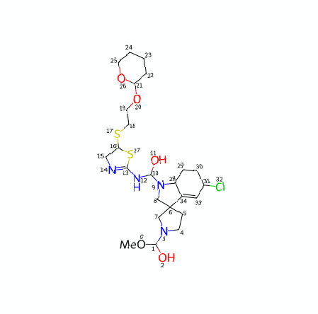 COC(O)N1CCC2(C1)CN(C(O)NC1=NCC(SCCOC3CCCCO3)S1)C1CCC(Cl)C=C12